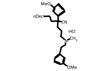 CCCCCCCCCCCCC(C#N)(CCCN(C)CCc1cccc(OC)c1)c1cccc(OC)c1.Cl